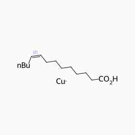 CCCC/C=C\CCCCCCCC(=O)O.[Cu]